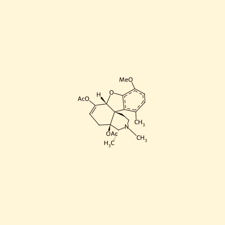 COc1ccc(C)c2c1O[C@H]1C(OC(C)=O)=CC[C@@]3(OC(C)=O)[C@@H](C)N(C)CC[C@]213